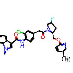 Cn1cc(C(=O)Nc2ccc(CC(=O)N3C[C@@H](F)C[C@H]3COc3ccc(C=O)cn3)cc2Cl)c2ccccc21